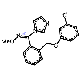 CO/N=C(\c1ccccc1COc1cccc(Cl)c1)n1ccnc1